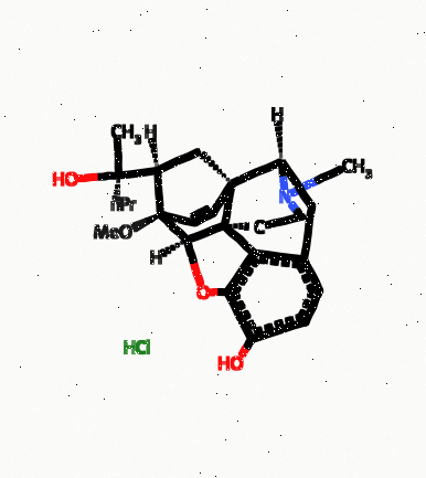 CCC[C@@](C)(O)[C@H]1C[C@@]23C=C[C@]1(OC)[C@@H]1Oc4c(O)ccc5c4[C@@]12CCN(C)[C@@H]3C5.Cl